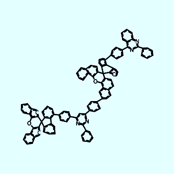 c1ccc(-c2nc(-c3ccc(-c4ccc5ccc6c(c5c4)Oc4c(ccc5ccccc45)C64c5ccccc5-c5c(-c6ccc(-c7nc(-c8ccccc8)nc8ccccc78)cc6)cccc54)cc3)cc(-c3ccc(-c4cccc5c4-c4ccccc4C54c5ccc6ccccc6c5Oc5c4ccc4ccccc54)cc3)n2)cc1